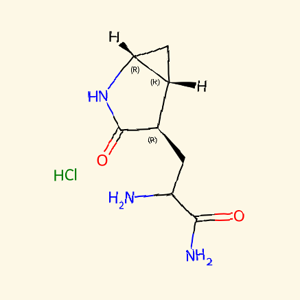 Cl.NC(=O)C(N)C[C@H]1C(=O)N[C@@H]2C[C@@H]21